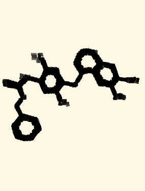 COc1cc2nccc(Oc3cc(C)c(NC(=O)OCc4ccccc4)cc3C)c2cc1OC